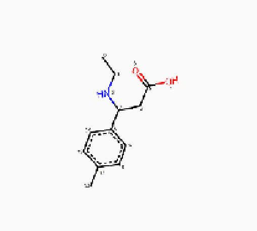 CCNC(CC(=O)O)c1ccc(C)cc1